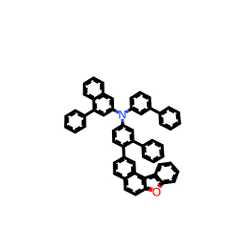 c1ccc(-c2cccc(N(c3ccc(-c4ccc5ccc6oc7ccccc7c6c5c4)c(-c4ccccc4)c3)c3cc(-c4ccccc4)c4ccccc4c3)c2)cc1